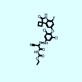 CCOC(=O)NC(=O)C(C#N)=NNc1cc(Cl)c(Oc2cc(F)c3c(c2)C2(CCC2)C(=O)N3)c(Cl)c1